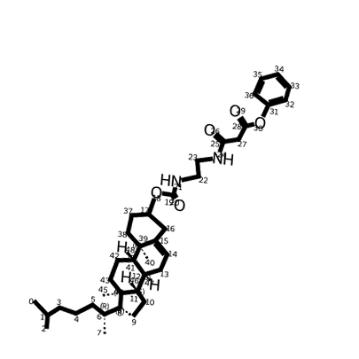 CC(C)CCC[C@@H](C)[C@H]1CC[C@H]2[C@@H]3CC=C4CC(OC(=O)NCCNC(=O)CC(=O)Oc5ccccc5)CC[C@]4(C)[C@H]3CC[C@]12C